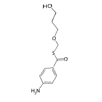 Nc1ccc(C(=O)SCOCCCO)cc1